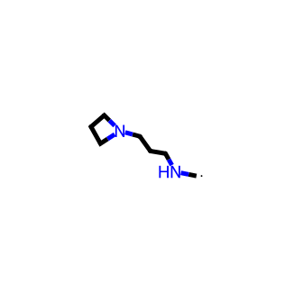 [CH2]NCCCN1CCC1